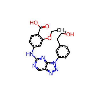 CCOc1cc(Nc2ncc3nnn(-c4cccc(CCO)c4)c3n2)ccc1C(=O)O